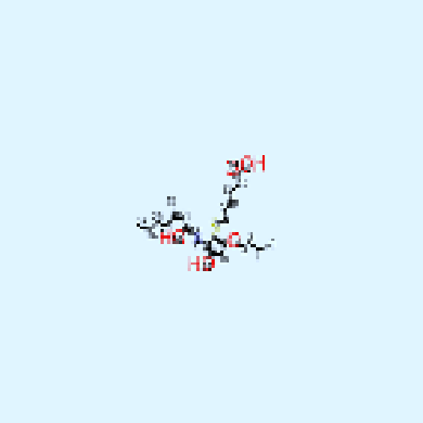 CCCCOC1=C(SCCCCCC(=O)O)[C@@H](/C=C/[C@@H](O)C[C@@H](C)CCCC)[C@H](O)C1